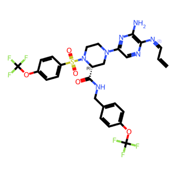 C=C/C=N\c1ncc(N2CCN(S(=O)(=O)c3ccc(OC(F)(F)F)cc3)[C@@H](C(=O)NCc3ccc(OC(F)(F)F)cc3)C2)nc1N